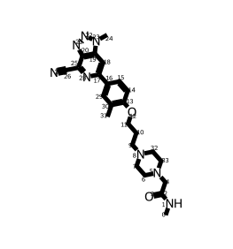 CNC(=O)CN1CCN(CCCOc2ccc(-c3cc4c(nnn4C)c(C#N)n3)cc2C)CC1